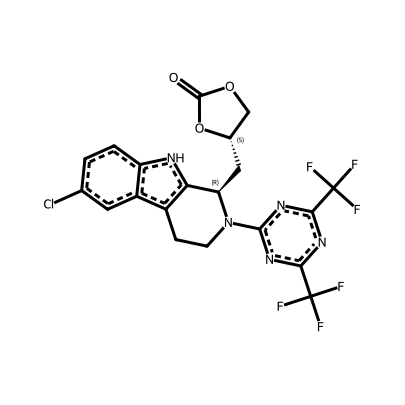 O=C1OC[C@H](C[C@@H]2c3[nH]c4ccc(Cl)cc4c3CCN2c2nc(C(F)(F)F)nc(C(F)(F)F)n2)O1